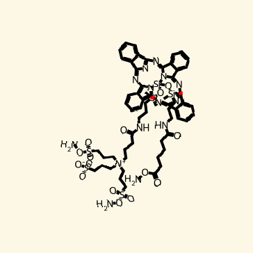 C[Si](C)(CCCNC(=O)CCCCC(=O)ON)O[Si]1(O[Si](C)(C)CCCNC(=O)CCC[N+](CCCS(=O)(=O)[O-])(CCCS(=O)(=O)ON)CCCS(=O)(=O)ON)n2c3c4ccccc4c2/N=C2N=C(/N=c4/c5ccccc5/c(n41)=N/C1=NC(=N\3)/c3ccccc31)c1ccccc1\2